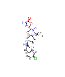 CN(C(=O)C1CNC(=O)O1)C(c1ccc(N[C@H]2Cc3ccc(Cl)cc3C2)cn1)C(F)(F)F